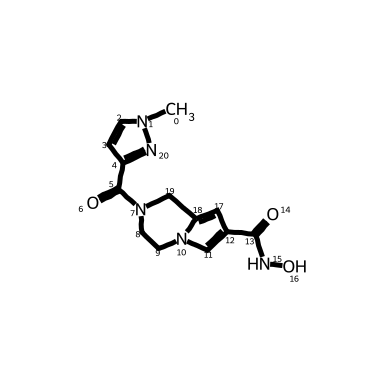 Cn1ccc(C(=O)N2CCn3cc(C(=O)NO)cc3C2)n1